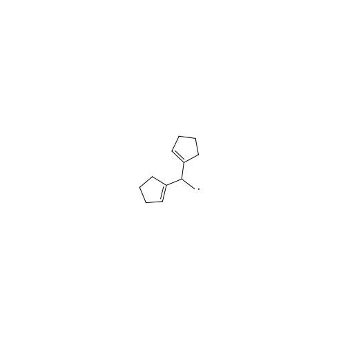 [CH2]C(C1=CCCC1)C1=CCCC1